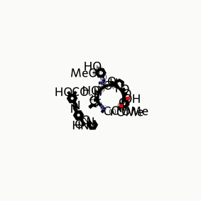 C=CC[C@@H]1/C=C(\C)C[C@H](C)C[C@H](OC)[C@H]2O[C@@](O)(C(=O)C(=O)N3CCCC[C@H]3C(=O)O[C@H](/C(C)=C/[C@@H]3CC[C@@H](O)[C@H](OC)C3)[C@H](C)[C@@H](O)CC1=O)[C@H](C)C[C@@H]2OC.O=C(O)c1cc(N=Nc2ccc(S(=O)(=O)Nc3ccccn3)cc2)ccc1O